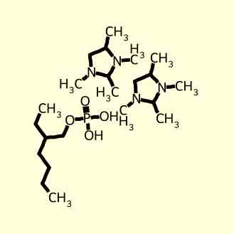 CC1CN(C)C(C)N1C.CC1CN(C)C(C)N1C.CCCCC(CC)COP(=O)(O)O